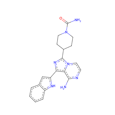 NC(=O)N1CCC(c2nc(-c3cc4ccccc4[nH]3)c3c(N)nccn23)CC1